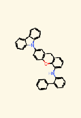 c1ccc(-c2ccccc2Nc2cccc3c2Oc2ccc(-n4c5ccccc5c5ccccc54)cc2C3)cc1